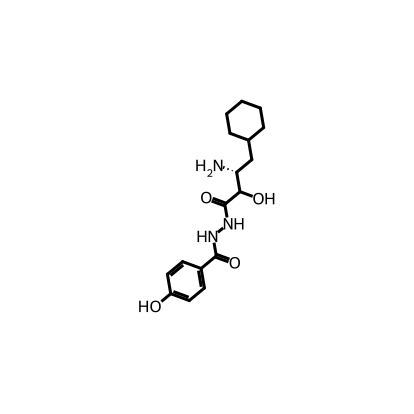 N[C@H](CC1CCCCC1)C(O)C(=O)NNC(=O)c1ccc(O)cc1